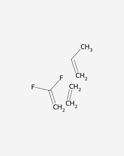 C=C.C=C(F)F.C=CC